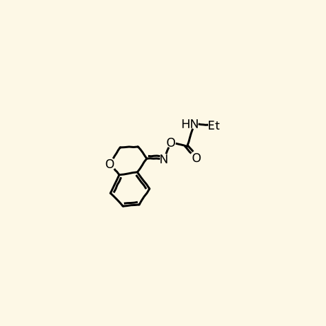 CCNC(=O)ON=C1CCOc2ccccc21